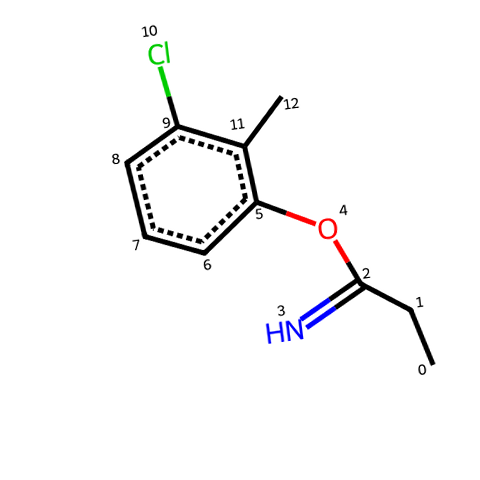 CCC(=N)Oc1cccc(Cl)c1C